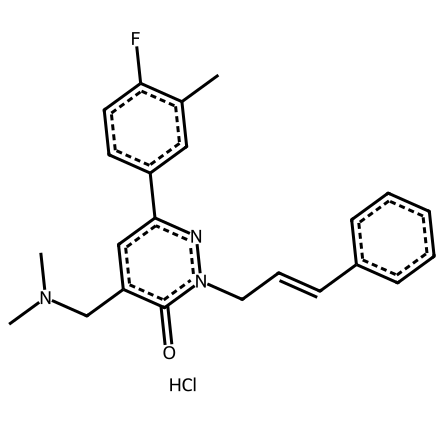 Cc1cc(-c2cc(CN(C)C)c(=O)n(CC=Cc3ccccc3)n2)ccc1F.Cl